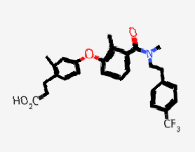 Cc1cc(Oc2cccc(C(=O)N(C)CCc3ccc(C(F)(F)F)cc3)c2C)ccc1CCC(=O)O